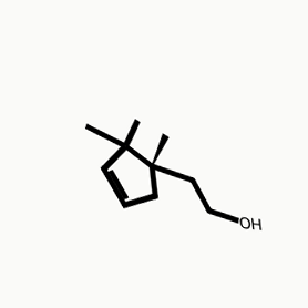 CC1(C)C=CC[C@@]1(C)CCO